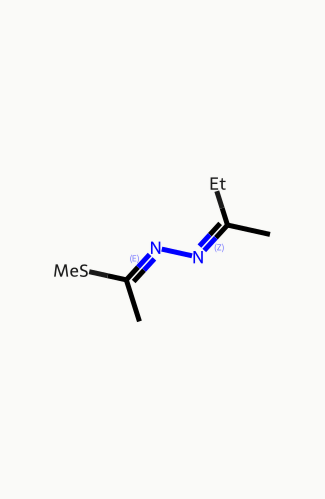 CC/C(C)=N\N=C(/C)SC